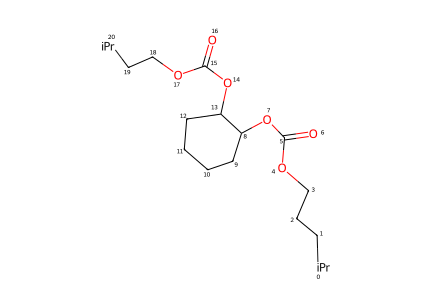 CC(C)CCCOC(=O)OC1CCCCC1OC(=O)OCCC(C)C